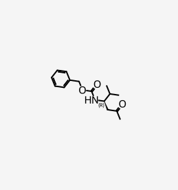 CC(=O)C[C@@H](NC(=O)OCc1ccccc1)C(C)C